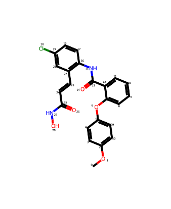 COc1ccc(Oc2ccccc2C(=O)Nc2ccc(Cl)cc2C=CC(=O)NO)cc1